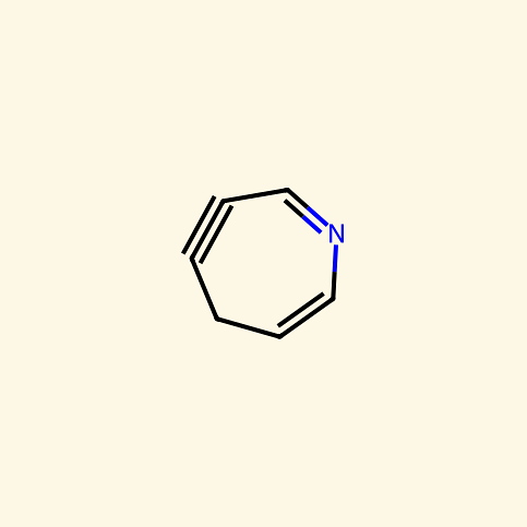 C1#CCC=CN=C1